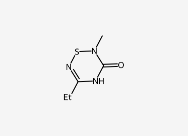 CCC1=NSN(C)C(=O)N1